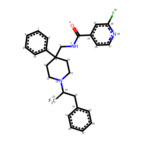 O=C(NCC1(c2ccccc2)CCN(C(Cc2ccccc2)C(F)(F)F)CC1)c1ccnc(F)c1